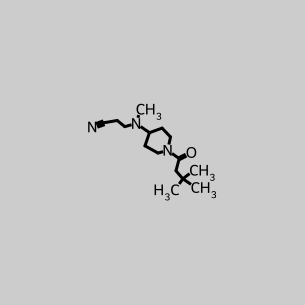 CN(CCC#N)C1CCN(C(=O)CC(C)(C)C)CC1